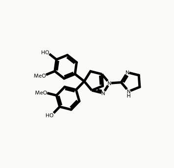 COc1cc(C2(c3ccc(O)c(OC)c3)Cc3cc2nn3C2=NCCN2)ccc1O